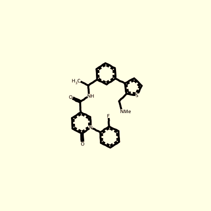 CNCc1sccc1-c1cccc(C(C)NC(=O)c2ccc(=O)n(-c3ccccc3F)c2)c1